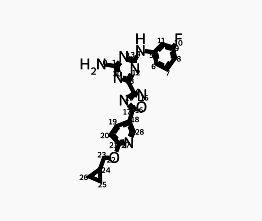 Nc1nc(Nc2cccc(F)c2)nc(-c2noc(-c3ccc(OCC4CC4)nc3)n2)n1